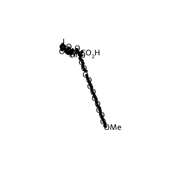 COCCOCCOCCOCCOCCOCCOCCOCCOCCOCCOCCOCCC(=O)N[C@@H](CC(=O)O)C(=O)NCN1C(=O)CCN(c2cc(I)ccc2OC)C1=O